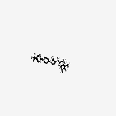 C[C@H](Nc1cn[nH]c(=O)c1C(F)(F)F)C(=O)N[C@@H]1CCN(C2CCN(c3ncc(C(F)(F)F)cn3)CC2)C1=O